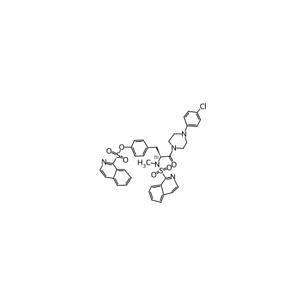 CN([C@@H](Cc1ccc(OS(=O)(=O)c2nccc3ccccc23)cc1)C(=O)N1CCN(c2ccc(Cl)cc2)CC1)S(=O)(=O)c1nccc2ccccc12